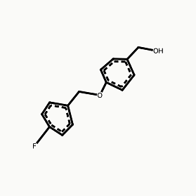 OCc1ccc(OCc2ccc(F)cc2)cc1